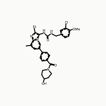 CCc1nc2c(C)cc(-c3ccc(C(=O)N4CCC(O)CC4)cc3)cn2c1NC(=O)NCc1ccc(OC)c(Cl)c1